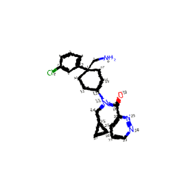 NC[C@]1(c2cccc(Cl)c2)CC[C@H](N(CC2CC2)C(=O)c2cccnn2)CC1